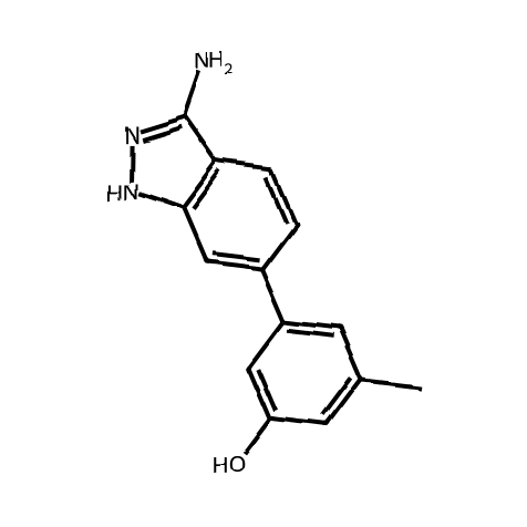 Cc1cc(O)cc(-c2ccc3c(N)n[nH]c3c2)c1